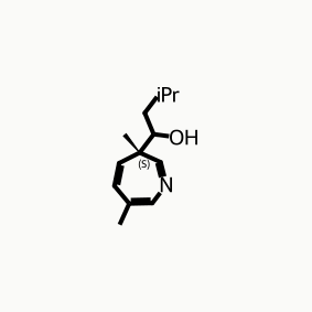 CC1=CN=C[C@@](C)(C(O)CC(C)C)C=C1